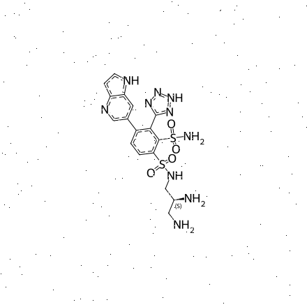 NC[C@H](N)CNS(=O)(=O)c1ccc(-c2cnc3cc[nH]c3c2)c(-c2nn[nH]n2)c1S(N)(=O)=O